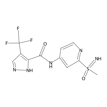 CS(=N)(=O)c1cc(NC(=O)c2[nH]ncc2C(F)(F)F)ccn1